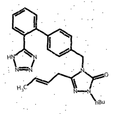 CC=CCc1nn(CCCC)c(=O)n1Cc1ccc(-c2ccccc2-c2nnn[nH]2)cc1